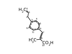 C=CCc1ccc(/C=C(\C)C(=O)O)cc1